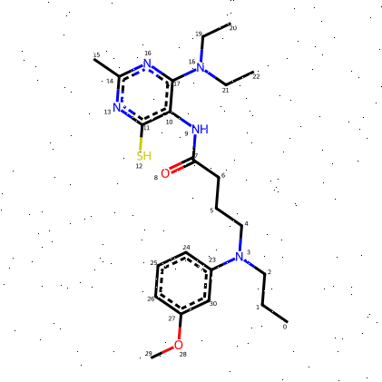 CCCN(CCCC(=O)Nc1c(S)nc(C)nc1N(CC)CC)c1cccc(OC)c1